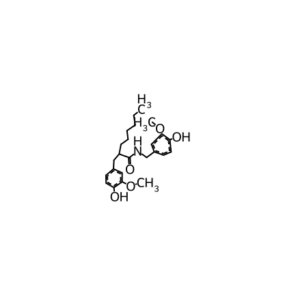 CCCCCCC(Cc1ccc(O)c(OC)c1)C(=O)NCc1ccc(O)c(OC)c1